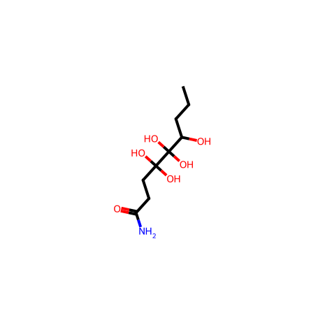 CCCC(O)C(O)(O)C(O)(O)CCC(N)=O